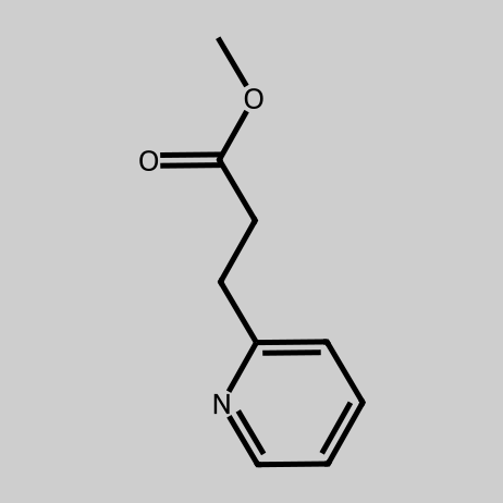 COC(=O)CCc1ccccn1